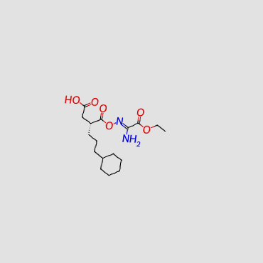 CCOC(=O)/C(N)=N/OC(=O)[C@H](CCCC1CCCCC1)CC(=O)O